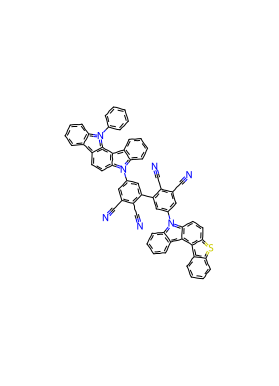 N#Cc1cc(-n2c3ccccc3c3c4c(ccc32)sc2ccccc24)cc(-c2cc(-n3c4ccccc4c4c3ccc3c5ccccc5n(-c5ccccc5)c34)cc(C#N)c2C#N)c1C#N